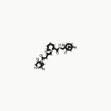 CC1(C)[C@@H]2CC[C@@H](CNC(=O)c3cccc4nc(CC(=O)N5C[C@H]6C[C@@H]5CN6)cn34)[C@@H]1C2